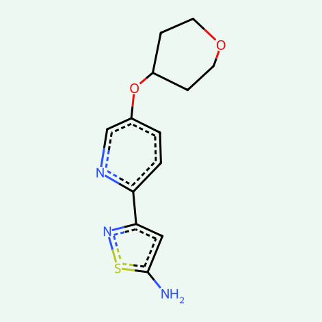 Nc1cc(-c2ccc(OC3CCOCC3)cn2)ns1